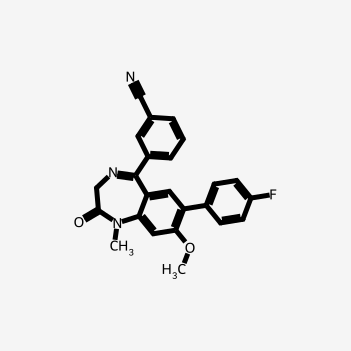 COc1cc2c(cc1-c1ccc(F)cc1)C(c1cccc(C#N)c1)=NCC(=O)N2C